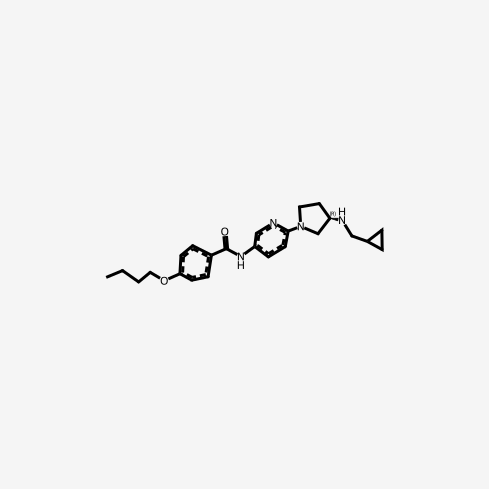 CCCCOc1ccc(C(=O)Nc2ccc(N3CC[C@@H](NCC4CC4)C3)nc2)cc1